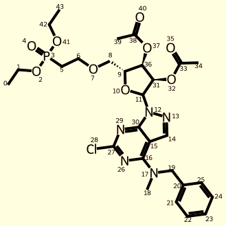 CCOP(=O)(CCOC[C@H]1OC(n2ncc3c(N(C)Cc4ccccc4)nc(Cl)nc32)[C@H](OC(C)=O)[C@@H]1OC(C)=O)OCC